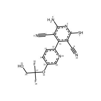 N#Cc1c(N)nc(S)c(C#N)c1-c1ccc(OC(F)(F)CO)cn1